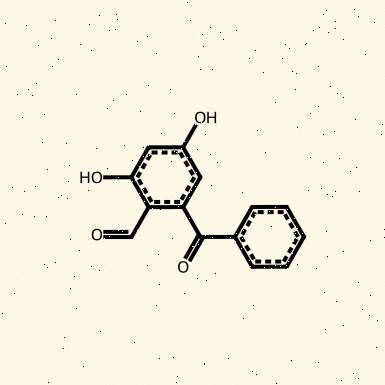 O=Cc1c(O)cc(O)cc1C(=O)c1ccccc1